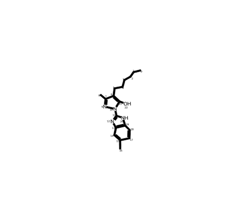 CCCCCCc1c(C)nn(-c2nc3cc(C)ccc3[nH]2)c1O